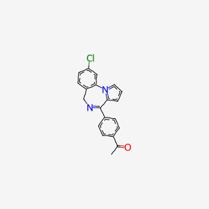 CC(=O)c1ccc(C2=NCc3ccc(Cl)cc3-n3cccc32)cc1